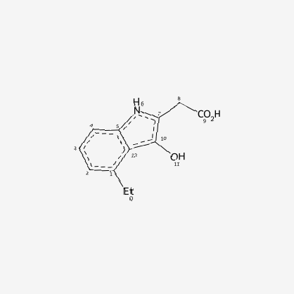 CCc1cccc2[nH]c(CC(=O)O)c(O)c12